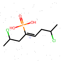 CC(Cl)C/C=C(/CC(C)Cl)P(=O)(O)O